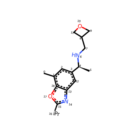 Cc1cc([C@H](C)NCC2COC2)cc2nc(C(C)C)oc12